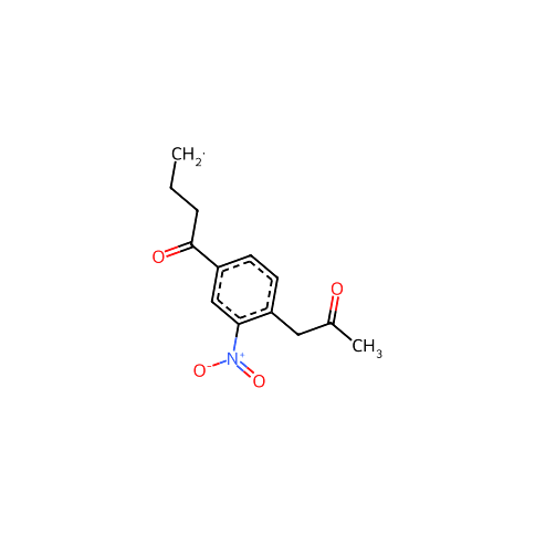 [CH2]CCC(=O)c1ccc(CC(C)=O)c([N+](=O)[O-])c1